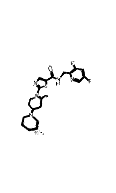 CC1CC(N2CCC[C@@H](C)C2)CCN1c1ncc(C(=O)NCc2ncc(F)cc2F)s1